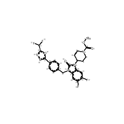 CC(C)(C)OC(=O)N1CCC(n2c(=O)n(Cc3ccc(-c4nnc(C(F)F)o4)cc3)c3cc(F)c(F)cc32)CC1